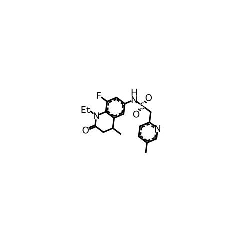 CCN1C(=O)CC(C)c2cc(NS(=O)(=O)Cc3ccc(C)cn3)cc(F)c21